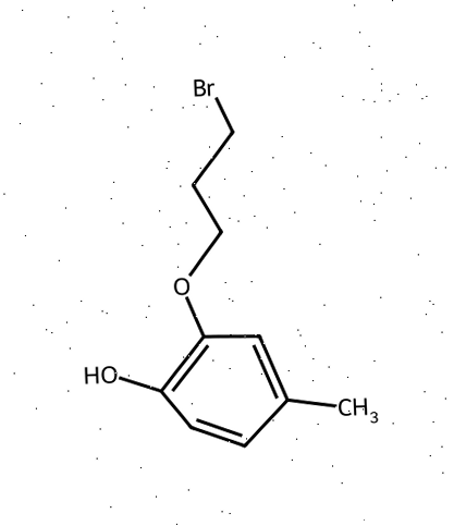 Cc1ccc(O)c(OCCCBr)c1